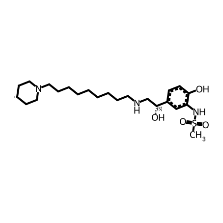 CS(=O)(=O)Nc1cc([C@H](O)CNCCCCCCCCCN2CC[CH]CC2)ccc1O